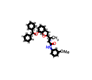 COc1cccc(NC(=O)/C=C(\C)C2Cc3cccc(OC(c4ccccc4)c4ccccc4)c3O2)c1